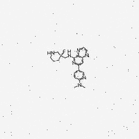 CN(C)c1ccc(-c2cc3nccnc3c(NC[C@]3(F)CCCNC3)n2)cn1